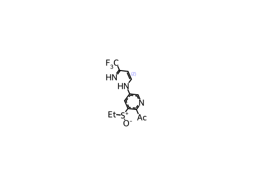 CC[S+]([O-])c1cc(N/C=C\C(=N)C(F)(F)F)cnc1C(C)=O